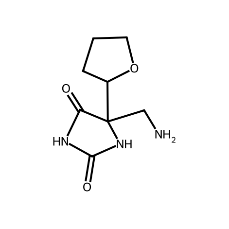 NCC1(C2CCCO2)NC(=O)NC1=O